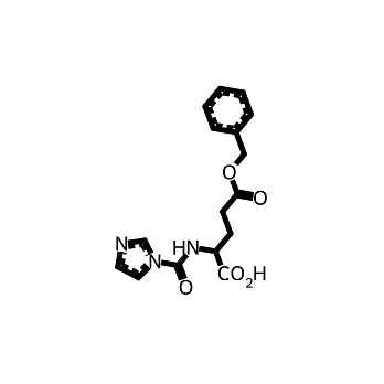 O=C(CCC(NC(=O)n1ccnc1)C(=O)O)OCc1ccccc1